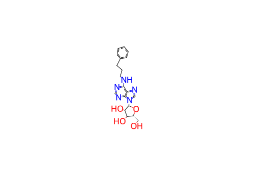 OC[C@H]1O[C@@H](n2cnc3c(NCCCc4ccccc4)ncnc32)C(O)C1O